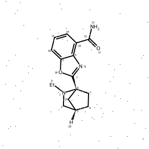 CCN1C[C@H]2CC[C@]1(c1nc3c(C(N)=O)cccc3o1)C2